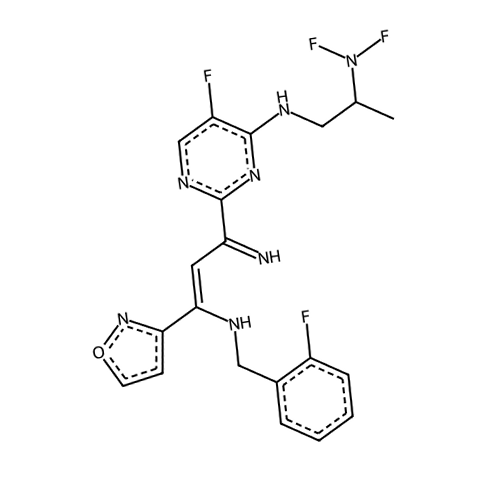 CC(CNc1nc(C(=N)/C=C(\NCc2ccccc2F)c2ccon2)ncc1F)N(F)F